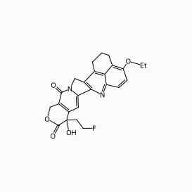 CCOc1ccc2nc3c(c4c2c1CCC4)Cn1c-3cc2c(c1=O)COC(=O)C2(O)CCF